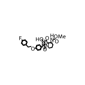 COC(=O)N[C@H]1CCCN(S(=O)(=O)c2ccc(OCCc3ccc(F)cc3)cc2)[C@H]1C(=O)NO